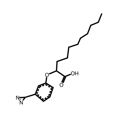 CCCCCCCCCC(Oc1cccc(C2N=N2)c1)C(=O)O